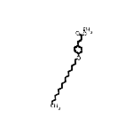 CCCCCCCCCCCCCCCCOc1ccc(/C=C/C(=O)OC)cc1